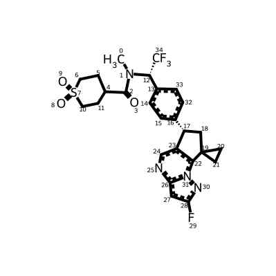 CN(C(=O)C1CCS(=O)(=O)CC1)[C@@H](c1ccc([C@@H]2CC3(CC3)c3c2cnc2cc(F)nn32)cc1)C(F)(F)F